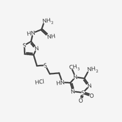 CN1C(N)=NS(=O)(=O)N=C1NCCSCc1csc(NC(=N)N)n1.Cl